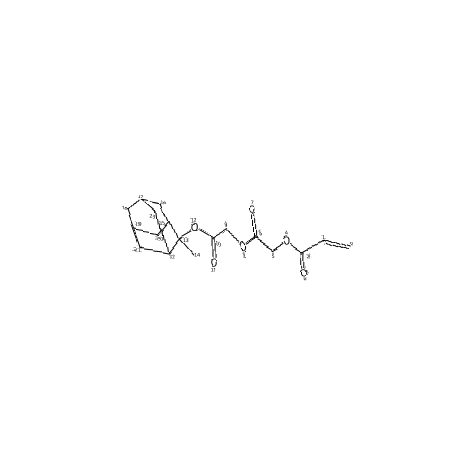 C=CC(=O)OCC(=O)OCC(=O)OC1(C)C2CC3CC(C2)CC1C3